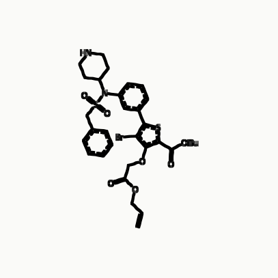 C=CCOC(=O)COc1c(C(=O)OCC(C)C)sc(-c2cccc(N(C3CCNCC3)S(=O)(=O)Cc3ccccc3)c2)c1Br